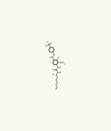 CCCCCC[C@H](F)[C@H](F)C(=O)Nc1ccc(NCc2ccc(C(F)(F)F)cc2)c(F)c1N